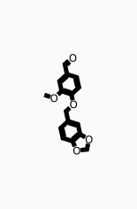 COc1cc(C=O)ccc1OCc1ccc2c(c1)OCO2